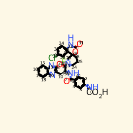 O=C(O)Nc1ccc(C(=O)N[C@@H](Cc2cnc3ccccc3n2)C(=O)N2CCCC3(C2)OC(=O)Nc2ccc(Cl)c(F)c23)cc1